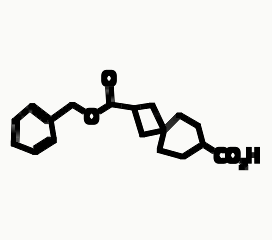 O=C(O)C1CCC2(CC1)CC(C(=O)OCc1ccccc1)C2